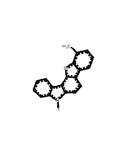 Cc1cccc2c1oc1c2ccc2c1c1ccccc1n2I